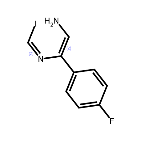 N/C=C(\N=C/I)c1ccc(F)cc1